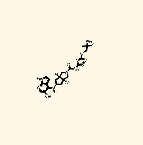 CN(c1c(C#N)cnc2[nH]ccc12)[C@H]1C[C@@H]2CN(C(=O)Nc3nc(OCC(C)(C)N)ns3)C[C@@H]2C1